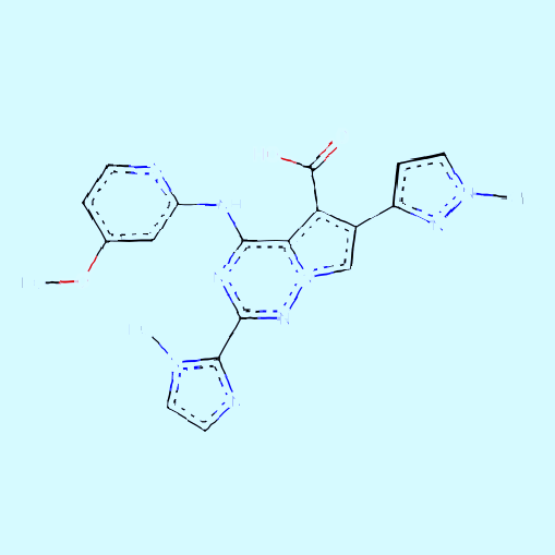 COc1ccnc(Nc2nc(-c3nccn3C)nn3cc(-c4ccn(C)n4)c(C(=O)O)c23)c1